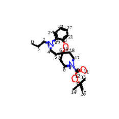 CCCN1CCC2(CCN(C(=O)OC(C)(C)C)CC2)Oc2ccccc21